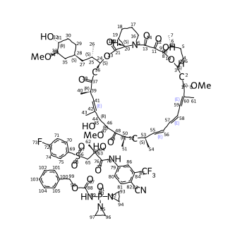 CO[C@H]1C[C@@H]2CC[C@@H](C)[C@@](O)(O2)C(=O)C(=O)N2CCCC[C@H]2C(=O)O[C@H]([C@@H](C)C[C@@H]2CC[C@@H](O)[C@H](OC)C2)CC(=O)[C@H](C)/C=C(\C)[C@@H](O)[C@@H](OC)C(=O)[C@H](C)C[C@H](C)/C=C/C=C/C=C/1C.C[C@](O)(CS(=O)(=O)c1ccc(F)cc1)C(=O)Nc1ccc(C#N)c(C(F)(F)F)c1.O=C(NP(=O)(N1CC1)N1CC1)OCc1ccccc1